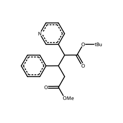 COC(=O)CC(c1ccccc1)C(C(=O)OC(C)(C)C)c1cccnc1